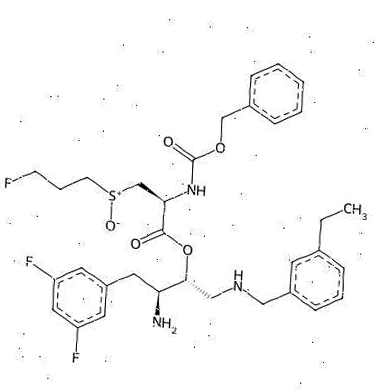 CCc1cccc(CNC[C@@H](OC(=O)[C@@H](C[S+]([O-])CCCF)NC(=O)OCc2ccccc2)[C@@H](N)Cc2cc(F)cc(F)c2)c1